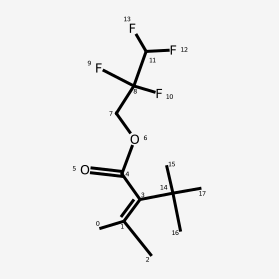 CC(C)=C(C(=O)OCC(F)(F)C(F)F)C(C)(C)C